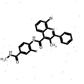 CNC(=O)c1ccc(NC(=O)c2c(C)c(-c3ccccc3)nc3c(Br)cccc23)c(F)c1